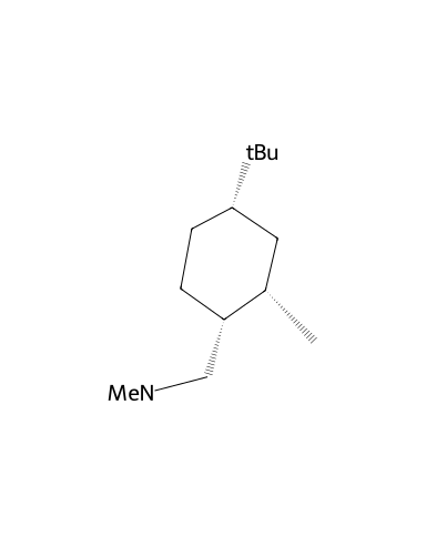 CNC[C@@H]1CC[C@H](C(C)(C)C)C[C@@H]1C